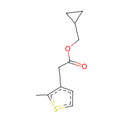 Cc1sccc1CC(=O)OCC1CC1